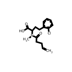 C=CCCC(=O)N(C)C(CCc1ccccc1Cl)C(=O)O